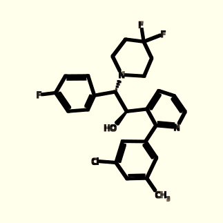 Cc1cc(Cl)cc(-c2ncccc2[C@@H](O)[C@H](c2ccc(F)cc2)N2CCC(F)(F)CC2)c1